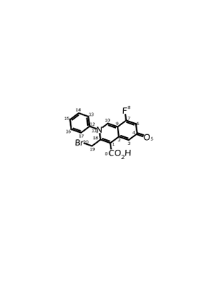 O=C(O)c1c2cc(=O)cc(F)c-2cn(-c2ccccc2)c1CBr